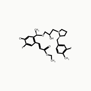 CCOC(=O)/C=C/c1cc(F)c(Cl)cc1[C@@H](C)OC[C@H](O)CN1CCC[C@H]1Cc1ccc(C)c(F)c1